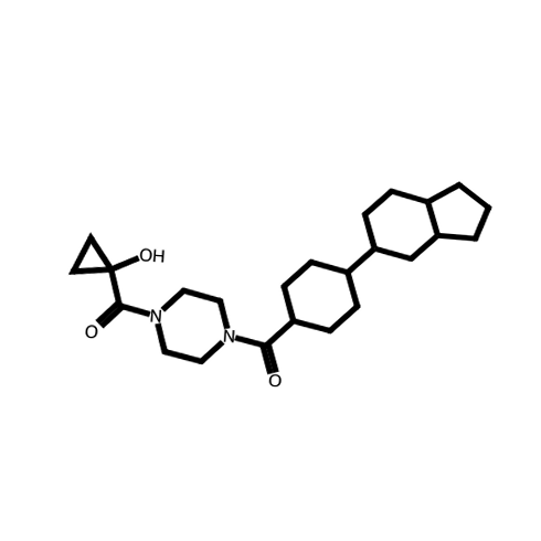 O=C(C1CCC(C2CCC3CCCC3C2)CC1)N1CCN(C(=O)C2(O)CC2)CC1